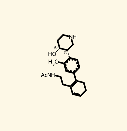 CC(=O)NCCC1=C(c2ccc([C@H]3CNCC[C@H]3O)c(C)c2)CCC=C1